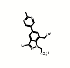 CC(=O)c1nn(CC(=O)O)c2c(CO)cc(-c3cnc(C)nc3)cc12